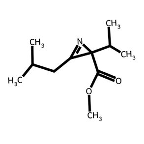 COC(=O)C1(C(C)C)N=C1CC(C)C